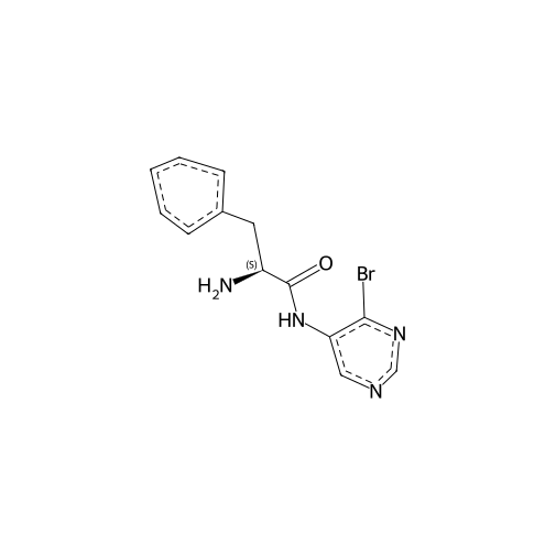 N[C@@H](Cc1ccccc1)C(=O)Nc1cncnc1Br